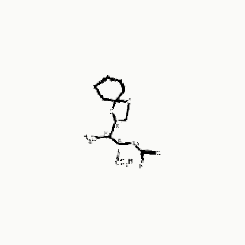 C[C@@H]([C@@H]1COC2(CCCCC2)O1)[C@H](NC(=O)F)C(=O)O